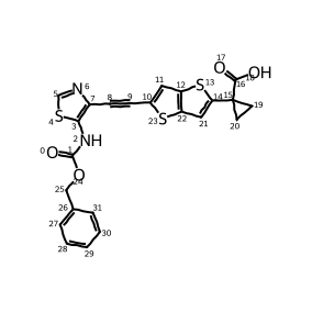 O=C(Nc1scnc1C#Cc1cc2sc(C3(C(=O)O)CC3)cc2s1)OCc1ccccc1